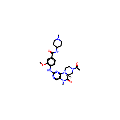 COc1cc(C(=O)NC2CCN(C)CC2)ccc1Nc1ncc2c(n1)N1CCN(C(C)=O)C[C@@H]1C(=O)N2C